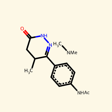 CC(=O)Nc1ccc(C2=NNC(=O)CC2C)cc1.CNC